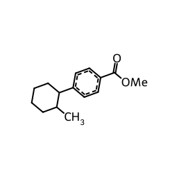 COC(=O)c1ccc(C2CCCCC2C)cc1